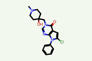 CN1CCC(O)(Cn2cnc3c(cc(Cl)n3-c3ccccc3)c2=O)CC1